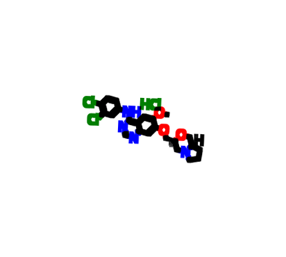 COc1cc2c(Nc3ccc(Cl)c(Cl)c3)ncnc2cc1OC[C@@H]1CN2CCC[C@@H]2CO1.Cl